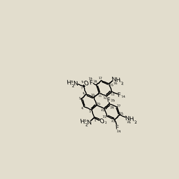 NC(=O)c1ccc(C(N)=O)c(-c2cc(F)c(N)cc2F)c1-c1cc(F)c(N)cc1F